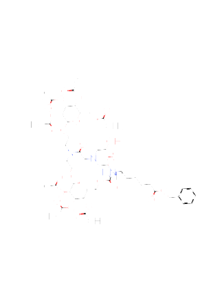 CC(=O)OC[C@@H]1O[C@@H](OCCN(CCO[C@@H]2O[C@@H](COC(C)=O)[C@H](OC(C)=O)[C@@H](OC(C)=O)[C@H]2OC(C)=O)C(=O)CN(CC(=O)O)CC(=O)NCCCCCC(=O)OCc2ccccc2)[C@H](OC(C)=O)[C@H](OC(C)=O)[C@H]1OC(C)=O